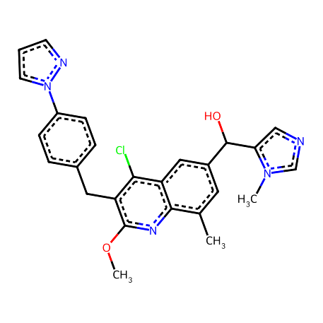 COc1nc2c(C)cc(C(O)c3cncn3C)cc2c(Cl)c1Cc1ccc(-n2cccn2)cc1